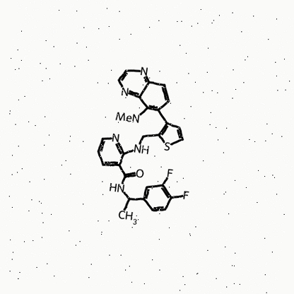 CNc1c(-c2ccsc2CNc2ncccc2C(=O)NC(C)c2ccc(F)c(F)c2)ccc2nccnc12